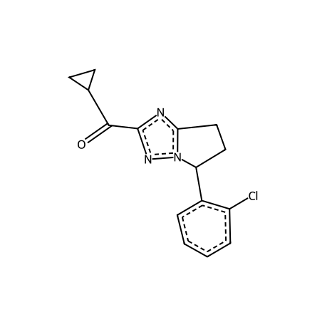 O=C(c1nc2n(n1)C(c1ccccc1Cl)CC2)C1CC1